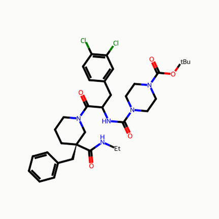 CCNC(=O)[C@]1(Cc2ccccc2)CCCN(C(=O)C(Cc2ccc(Cl)c(Cl)c2)NC(=O)N2CCN(C(=O)OC(C)(C)C)CC2)C1